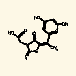 C/C(=C1\SC(=S)N(CC(=O)O)C1=O)c1cc(O)cc(O)c1